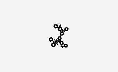 CC1(C)c2ccccc2-c2cc3c4cc(-c5ccc6c(c5)c5cc7c(cc5n6-c5ccccc5)oc5ccccc57)ccc4n(-c4nc(-c5ccccc5)c5ccccc5n4)c3cc21